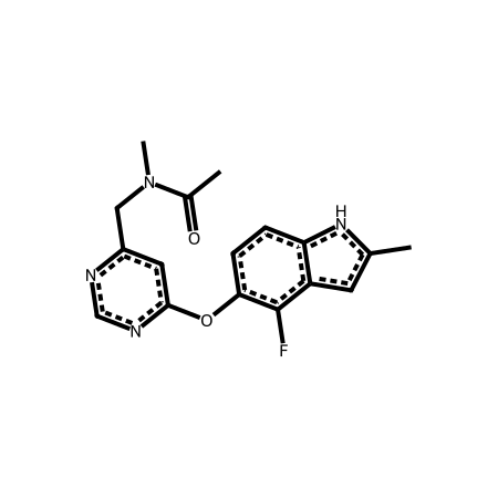 CC(=O)N(C)Cc1cc(Oc2ccc3[nH]c(C)cc3c2F)ncn1